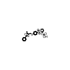 Cc1oc(-c2ccccc2)nc1CSc1ccc(S(=O)(=O)N2CCC[C@H]2OC(=O)O)cc1